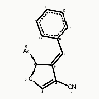 CC(=O)C1OC=C(C#N)C1=Cc1ccccc1